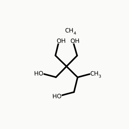 C.CC(CO)C(CO)(CO)CO